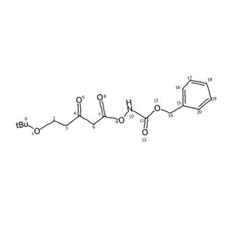 CC(C)(C)OCCC(=O)CC(=O)ONC(=O)OCc1ccccc1